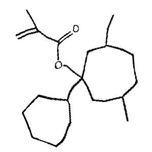 C=C(C)C(=O)OC1(C2CCCCC2)CC(C)CCC(C)C1